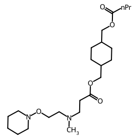 CCCC(=O)OCC1CCC(COC(=O)CCN(C)CCON2CCCCC2)CC1